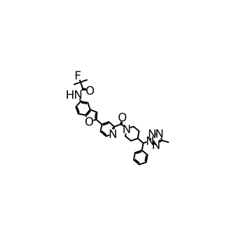 Cc1nnn(C(c2ccccc2)C2CCN(C(=O)c3cc(-c4cc5cc(NC(=O)C(C)(C)F)ccc5o4)ccn3)CC2)n1